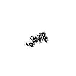 CC(C(=O)O)N(Cc1ccc(Cl)cc1Oc1ccc(N=[N+]=[N-])cc1)C(=O)OCC1c2ccccc2-c2ccccc21